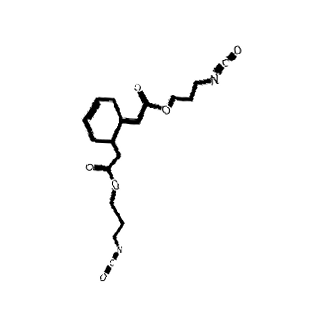 O=C=NCCCOC(=O)CC1CC=CCC1CC(=O)OCCCN=C=O